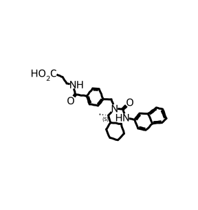 C[C@@H](C1CCCCC1)N(Cc1ccc(C(=O)NCCC(=O)O)cc1)C(=O)Nc1ccc2ccccc2c1